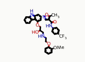 COc1ccccc1OCCNCC(O)COc1cccc2[nH]c3ccccc3c12.Cc1oncc1C(=O)Nc1ccc(C(F)(F)F)cc1